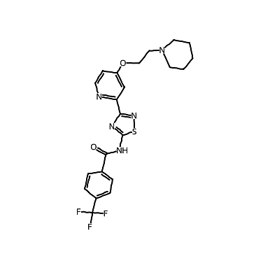 O=C(Nc1nc(-c2cc(OCCN3CCCCC3)ccn2)ns1)c1ccc(C(F)(F)F)cc1